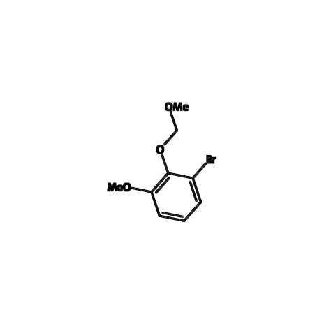 COCOc1c(Br)cccc1OC